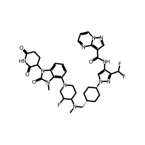 CN(C[C@H]1CC[C@H](n2cc(NC(=O)c3cnn4cccnc34)c(C(F)F)n2)CC1)C1CCN(c2cccc3c2n(C)c(=O)n3C2CCC(=O)NC2=O)CC1F